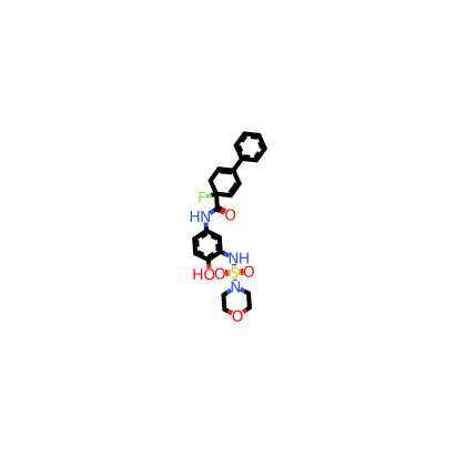 O=C(Nc1ccc(O)c(NS(=O)(=O)N2CCOCC2)c1)C1(F)C=CC(c2ccccc2)=CC1